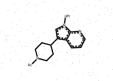 CCCn1cc(C2CCN(C(C)=O)CC2)c2cccnc21